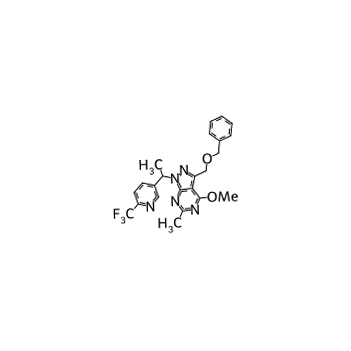 COc1nc(C)nc2c1c(COCc1ccccc1)nn2C(C)c1ccc(C(F)(F)F)nc1